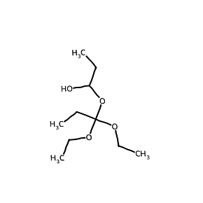 CCOC(CC)(OCC)OC(O)CC